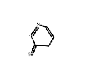 [Se]=C1[C]=NC=CC1